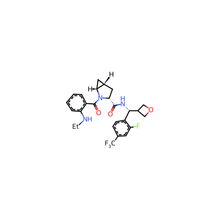 CCNc1ccccc1C(=O)N1[C@@H](C(=O)N[C@@H](c2ccc(C(F)(F)F)cc2F)C2COC2)C[C@H]2C[C@H]21